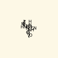 C=CC(=O)N1CCC[C@@H](Nc2nc(Nc3cnn(C4CC4)c3)nc3[nH]cc(C#N)c23)C1